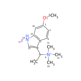 COc1ccc2c(C(C)[N+](C)(C)C)c[nH]c2c1.[I-]